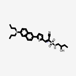 CCCN(CCC)c1ccc2cc(-c3ccc(/C=C(\C#N)S(=O)(=O)NCC(O)CC)s3)ccc2c1